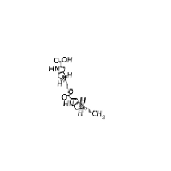 CCC[C@@H]1[C@H]2Cc3[nH]c(C(=O)OCCC4[C@H]5Cc6[nH]c(C(=O)O)cc6[C@@H]45)cc3[C@@H]12